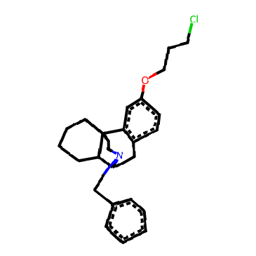 ClCCCOc1ccc2c(c1)C13CCCCC1C(C2)N(Cc1ccccc1)CC3